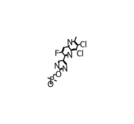 Cc1nc2cc(F)c(-c3cnc(OCP(C)(C)=O)nc3)nc2c(Cl)c1Cl